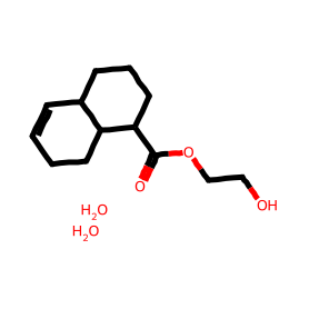 O.O.O=C(OCCO)C1CCCC2C=CCCC21